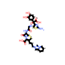 Nc1nc(C(ON=CC(=O)NC2C(=O)N3C(C(=O)O)=C(C=CC[n+]4cc5ccccn5c4)CSC23)(C(=O)O)c2ccc(O)c(O)c2)cs1